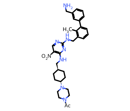 CC(=O)N1CCN([C@H]2CC[C@H](CNc3nc(NCc4cccc(-c5cccc(CN)c5)c4C)ncc3[N+](=O)[O-])CC2)CC1